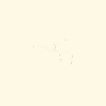 Oc1cc(C2CCCCC2)c(O)s1